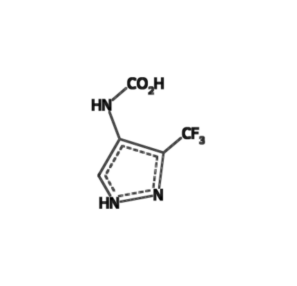 O=C(O)Nc1c[nH]nc1C(F)(F)F